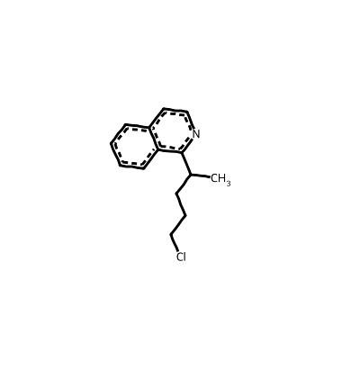 CC(CCCCl)c1nccc2ccccc12